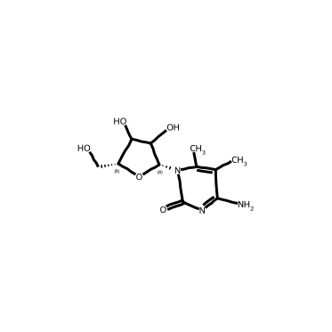 Cc1c(N)nc(=O)n([C@@H]2O[C@H](CO)C(O)C2O)c1C